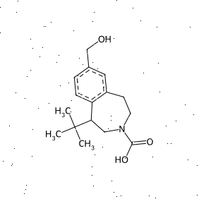 CC(C)(C)C1CN(C(=O)O)CCc2cc(CO)ccc21